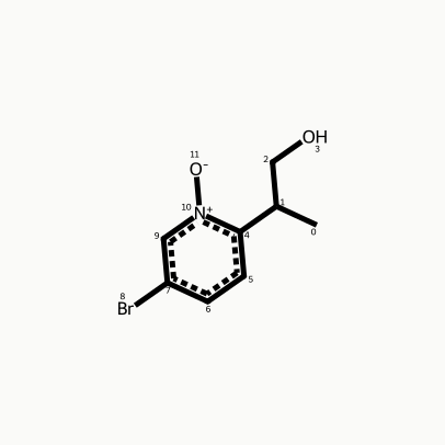 CC(CO)c1ccc(Br)c[n+]1[O-]